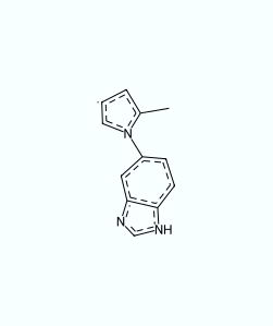 Cc1c[c]cn1-c1ccc2[nH]cnc2c1